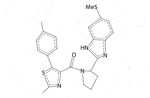 CSc1ccc2nc(C3CCCN3C(=O)c3nc(C)sc3-c3ccc(C)cc3)[nH]c2c1